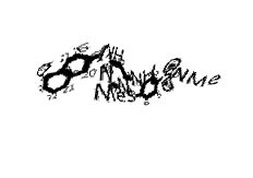 CNS(=O)(=O)c1ccc(SC)c(Nc2cc(Nc3ccc4c(c3)CCCC4=O)ncn2)c1